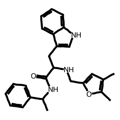 Cc1cc(CNC(Cc2c[nH]c3ccccc23)C(=O)NC(C)c2ccccc2)oc1C